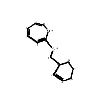 C1=CC=C(SCC2C=CCCC2)OC=C1